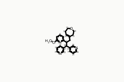 COc1cccc(C(CC2=CCCOCC2)C(c2cccnc2)c2cccnc2)n1